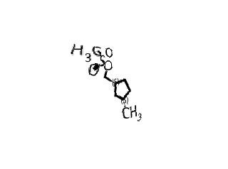 C[C@H]1CC[C@H](COS(C)(=O)=O)C1